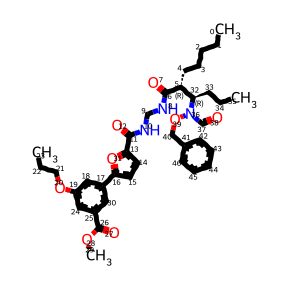 CCCCC[C@@H](C(=O)NCNC(=O)c1ccc(-c2cc(OCCC)cc(C(=O)OC)c2)o1)[C@@H](CCC)N(C=O)OCc1ccccc1